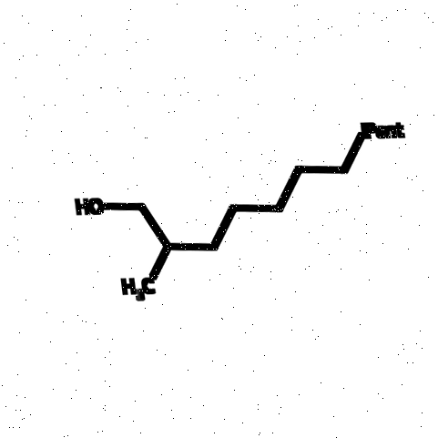 CCCC(C)CCCCCC(C)CO